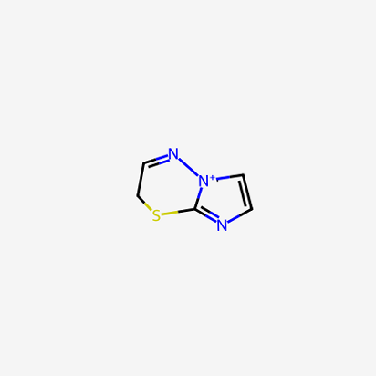 C1=C[N+]2N=CCSC2=N1